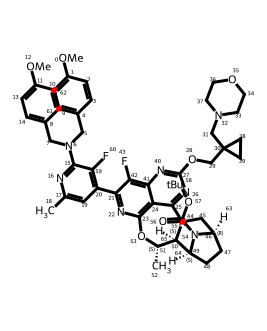 COc1ccc(CN(Cc2ccc(OC)cc2)c2nc(C)cc(-c3nc4c5c(nc(OCC6(CN7CCOCC7)CC6)nc5c3F)N3C[C@H]5CC[C@@H]([C@H]3[C@H](C)O4)N5C(=O)OC(C)(C)C)c2F)cc1